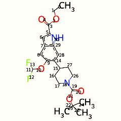 CCOC(=O)c1cc2cc(OC(F)F)c(C3CCN(C(=O)OC(C)(C)C)CC3)cc2[nH]1